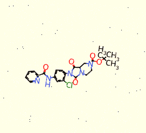 CC(C)(C)OC(=O)N1CCN2C(=O)N(c3ccc(NC(=O)c4ccccn4)cc3Cl)C(=O)C2C1